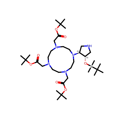 CC(C)(C)OC(=O)CN1CCN(CC(=O)OC(C)(C)C)CCN([C@H]2CNC[C@@H]2O[Si](C)(C)C(C)(C)C)CCN(CC(=O)OC(C)(C)C)CC1